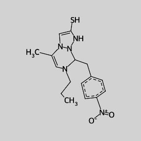 CCCN1C=C(C)N2C=C(S)NN2C1Cc1ccc([N+](=O)[O-])cc1